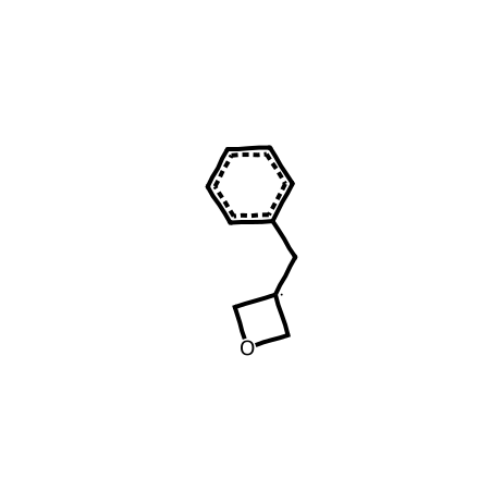 c1ccc(C[C]2COC2)cc1